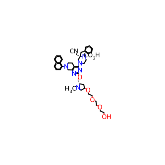 CN1C[C@H](OCCOCCOCCO)C[C@H]1COc1nc2c(c(N3CCN(C(=O)O)[C@](CC#N)(Cc4ccccc4)C3)n1)CCN(c1cccc3ccccc13)C2